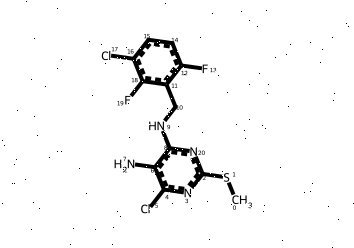 CSc1nc(Cl)c(N)c(NCc2c(F)ccc(Cl)c2F)n1